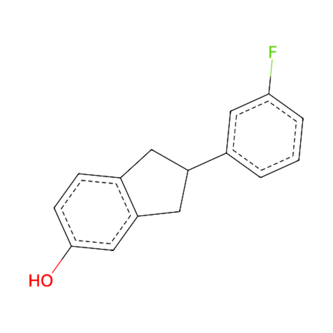 Oc1ccc2c(c1)CC(c1cccc(F)c1)C2